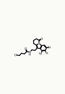 [2H]c1cc2c(c([2H])c1[2H])c(CCNC(=O)CCCCl)c1n2C(=O)CCC1